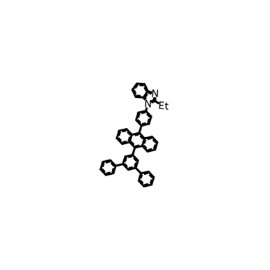 CCc1nc2ccccc2n1-c1ccc(-c2c3ccccc3c(-c3cc(-c4ccccc4)cc(-c4ccccc4)c3)c3ccccc23)cc1